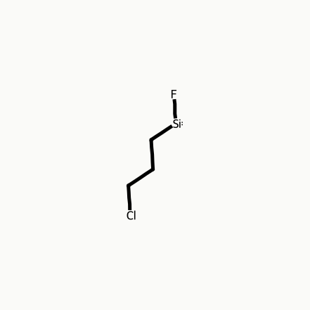 F[Si]CCCCl